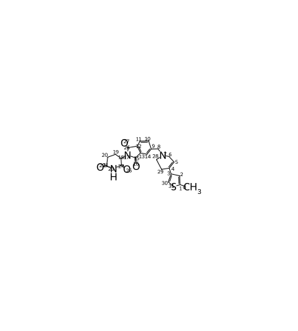 Cc1cc(C2=CCN(Cc3ccc4c(c3)C(=O)N(C3CCC(=O)NC3=O)C4=O)CC2)cs1